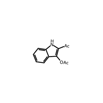 CC(=O)Oc1c(C(C)=O)[nH]c2ccccc12